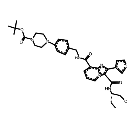 CC[C@@H](CO)NC(=O)c1c(-c2ccsc2)nc2c(C(=O)NCc3ccc(N4CCN(C(=O)OC(C)(C)C)CC4)cc3)cccn12